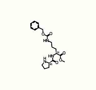 COC(=O)[C@H](CCCNC(=O)OCc1ccccc1)NC(=O)[C@H]1CCCN1